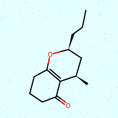 CCC[C@H]1C[C@@H](C)C2=C(CCCC2=O)O1